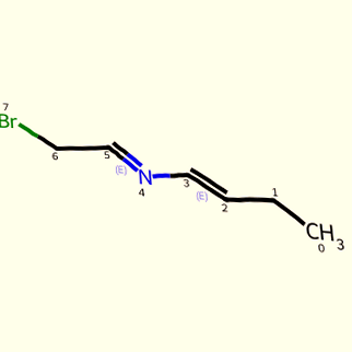 CC/C=C/N=C/CBr